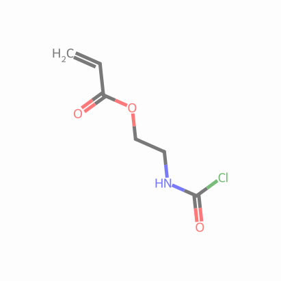 C=CC(=O)OCCNC(=O)Cl